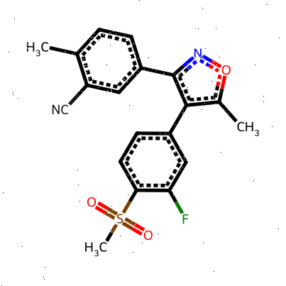 Cc1ccc(-c2noc(C)c2-c2ccc(S(C)(=O)=O)c(F)c2)cc1C#N